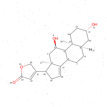 C[C@]12C[C@@H](O)C3C(CC[C@@H]4C[C@@H](O)CC[C@]34C)C1=CCC2C1=CC(=O)OC1